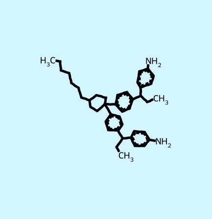 CCCCCCCC1CCC(c2ccc(C(CC)c3ccc(N)cc3)cc2)(c2ccc(C(CC)c3ccc(N)cc3)cc2)CC1